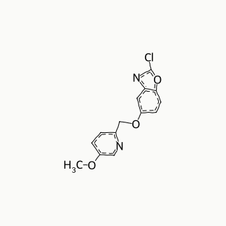 COc1ccc(COc2ccc3oc(Cl)nc3c2)nc1